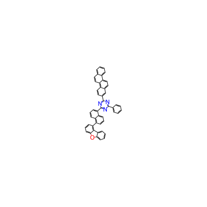 c1ccc(-c2nc(-c3ccc4c(ccc5c6ccccc6ccc45)c3)nc(-c3cccc4c(-c5cccc6oc7ccccc7c56)cccc34)n2)cc1